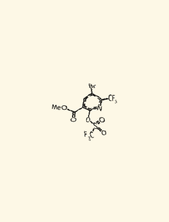 COC(=O)c1cc(Br)c(C(F)(F)F)nc1OS(=O)(=O)C(F)(F)F